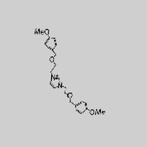 COc1ccc(COCCn2cc[n+](CCOCc3ccc(OC)cc3)c2)cc1